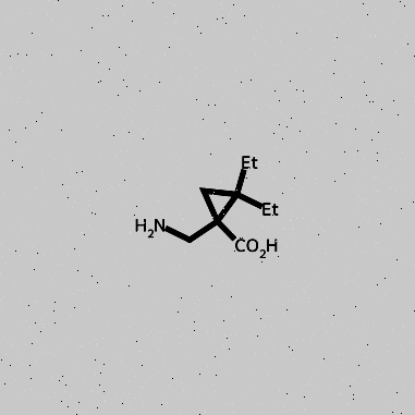 CCC1(CC)CC1(CN)C(=O)O